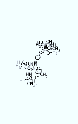 CC(C)(C)OC(=O)NCCN(C(=O)OC(C)(C)C)C1=N[C@@H](c2ccc(OC[C@@H](O[Si](C)(C)C(C)(C)C)C(=O)OC(C)(C)C)cc2)CN1C(=O)OC(C)(C)C